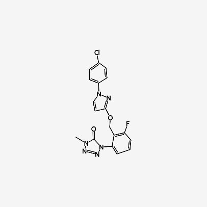 Cn1nnn(-c2cccc(F)c2COc2ccn(-c3ccc(Cl)cc3)n2)c1=O